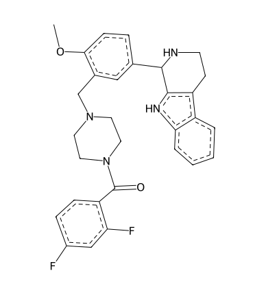 COc1ccc(C2NCCc3c2[nH]c2ccccc32)cc1CN1CCN(C(=O)c2ccc(F)cc2F)CC1